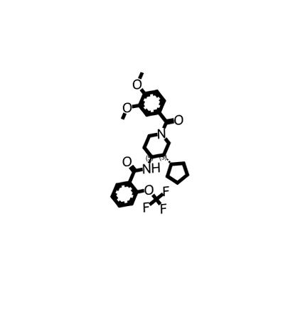 COc1ccc(C(=O)N2CC[C@H](NC(=O)c3ccccc3OC(F)(F)F)[C@@H](C3CCCC3)C2)cc1OC